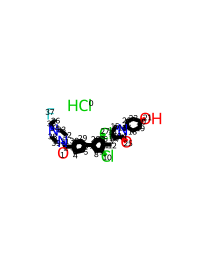 Cl.O=C(c1ccc(-c2cc(Cl)c(C[C@@H]3CCN(C4CCC(O)CC4)C3=O)c(Cl)c2)cc1)N1CCN(CCF)CC1